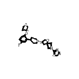 Fc1ccc(O[C@@H]2CCOC2)c(C2CCN([C@@H]3COC4(C3)CN(c3nnco3)C4)CC2)c1